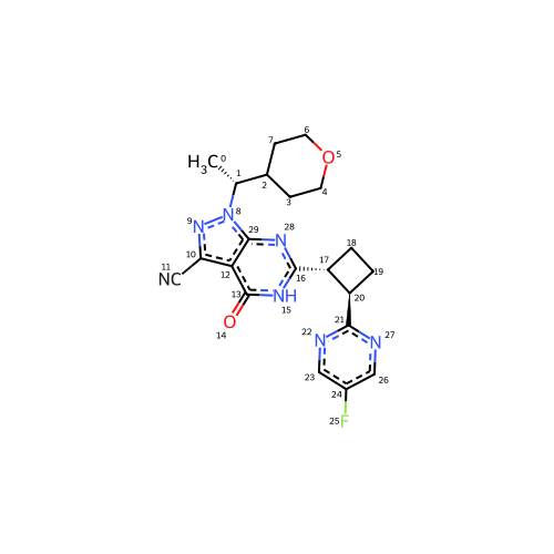 C[C@H](C1CCOCC1)n1nc(C#N)c2c(=O)[nH]c([C@@H]3CC[C@H]3c3ncc(F)cn3)nc21